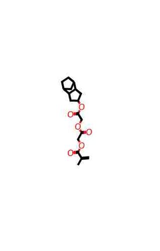 C=C(C)C(=O)OCC(=O)OCC(=O)OC1CC2C3CCC(C3)C2C1